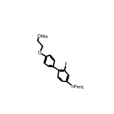 CCCCCc1ccc(-c2ccc(OCCOC)cc2)c(F)c1